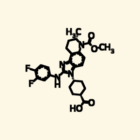 COC(=O)N1c2ccc3c(nc(Nc4ccc(F)c(F)c4)n3[C@H]3CC[C@H](C(=O)O)CC3)c2CC[C@@H]1C